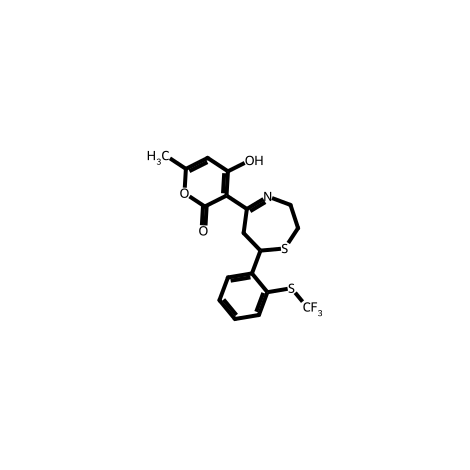 Cc1cc(O)c(C2=NCCSC(c3ccccc3SC(F)(F)F)C2)c(=O)o1